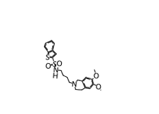 COc1cc2c(cc1OC)CN(CCCCNS(=O)(=O)c1cc3ccccc3s1)CC2